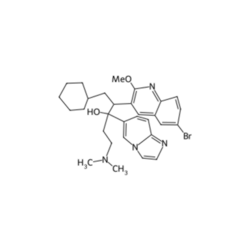 COc1nc2ccc(Br)cc2cc1C(CC1CCCCC1)C(O)(CCN(C)C)c1ccc2nccn2c1